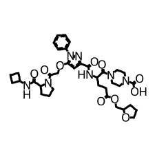 O=C(CCC(NC(=O)c1cc(OCC(=O)N2CCCC2C(=O)NC2CCC2)n(-c2ccccc2)n1)C(=O)N1CCN(C(=O)O)CC1)OCC1CCCO1